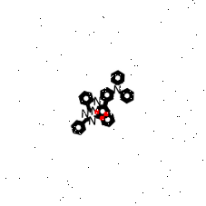 c1ccc(-c2nc(-c3ccccc3)nc(-c3ccccc3-n3c4ccccc4c4cc(N(c5ccccc5)c5ccccc5)ccc43)n2)cc1